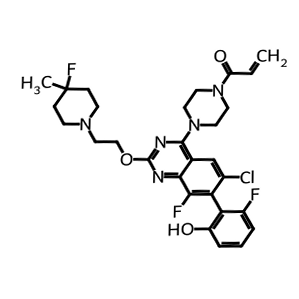 C=CC(=O)N1CCN(c2nc(OCCN3CCC(C)(F)CC3)nc3c(F)c(-c4c(O)cccc4F)c(Cl)cc23)CC1